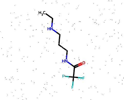 CCNCCCNC(=O)C(F)(F)F